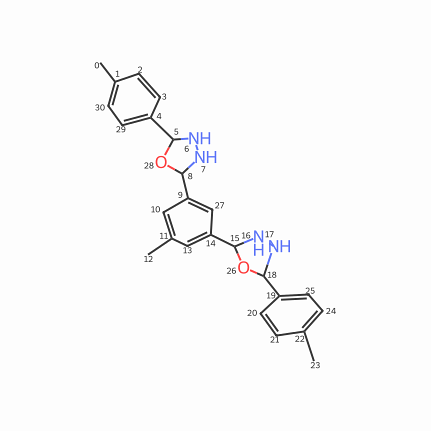 Cc1ccc(C2NNC(c3cc(C)cc(C4NNC(c5ccc(C)cc5)O4)c3)O2)cc1